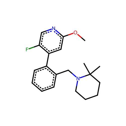 COc1cc(-c2ccccc2CN2CCCCC2(C)C)c(F)cn1